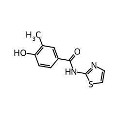 Cc1cc(C(=O)Nc2nccs2)ccc1O